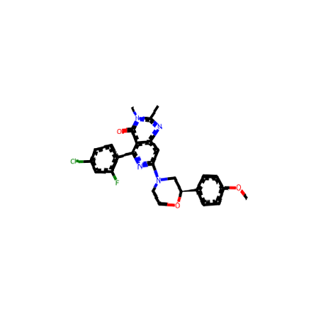 COc1ccc([C@@H]2CN(c3cc4nc(C)n(C)c(=O)c4c(-c4ccc(Cl)cc4F)n3)CCO2)cc1